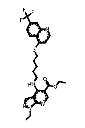 CCOC(=O)c1cnc2c(cnn2CC)c1NCCCCCSc1ccnc2cc(C(F)(F)F)ccc12